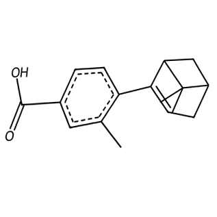 Cc1cc(C(=O)O)ccc1C1=CCC2CC1C2(C)C